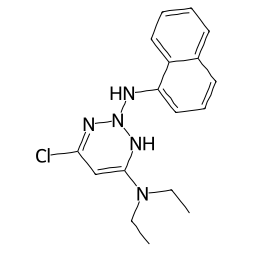 CCN(CC)C1=CC(Cl)=NN(Nc2cccc3ccccc23)N1